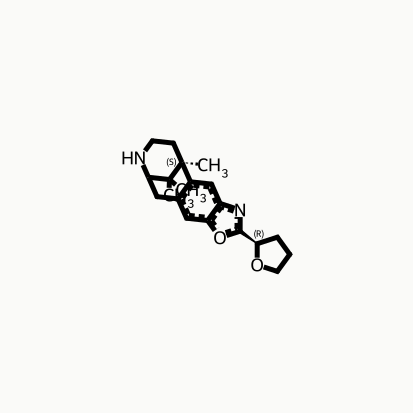 CC1(C)C2Cc3cc4oc([C@H]5CCCO5)nc4cc3[C@]1(C)CCN2